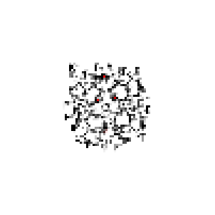 FC(F)(F)c1c([B-](c2c(C(F)(F)F)c(C(F)(F)F)c(C(F)(F)F)c(C(F)(F)F)c2C(F)(F)F)(c2c(C(F)(F)F)c(C(F)(F)F)c(C(F)(F)F)c(C(F)(F)F)c2C(F)(F)F)c2c(C(F)(F)F)c(C(F)(F)F)c(C(F)(F)F)c(C(F)(F)F)c2C(F)(F)F)c(C(F)(F)F)c(C(F)(F)F)c(C(F)(F)F)c1C(F)(F)F.[K+]